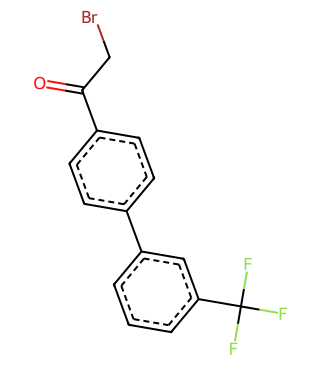 O=C(CBr)c1ccc(-c2cccc(C(F)(F)F)c2)cc1